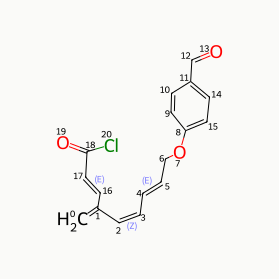 C=C(/C=C\C=C\COc1ccc(C=O)cc1)/C=C/C(=O)Cl